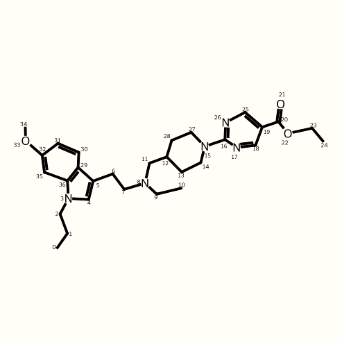 CCCn1cc(CCN(CC)CC2CCN(c3ncc(C(=O)OCC)cn3)CC2)c2ccc(OC)cc21